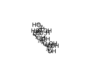 C=C(C)C(=O)O.OCC(CO)(CO)CO.OCC(O)COCC(CO)(CO)CO